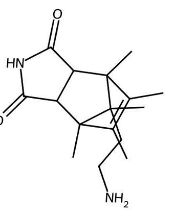 CC1=C(C)C2(C)C3C(=O)NC(=O)C3C1(C)C2(C)CCN